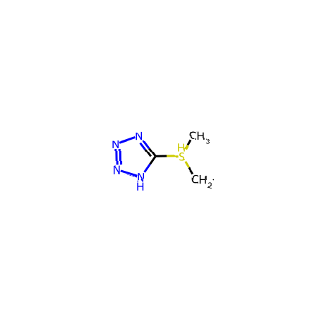 [CH2][SH](C)c1nnn[nH]1